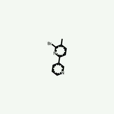 Cc1ccc(-c2cccnc2)nc1Br